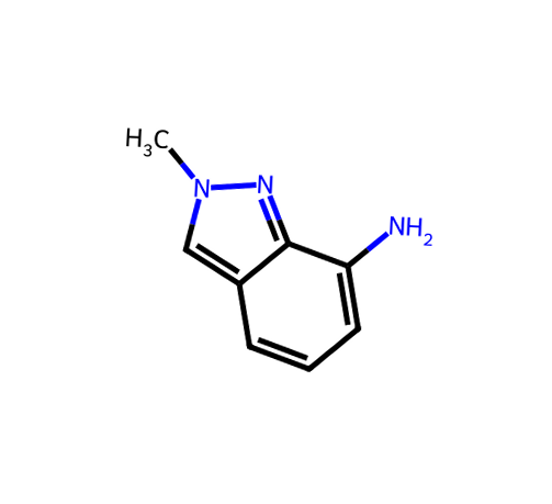 Cn1cc2cccc(N)c2n1